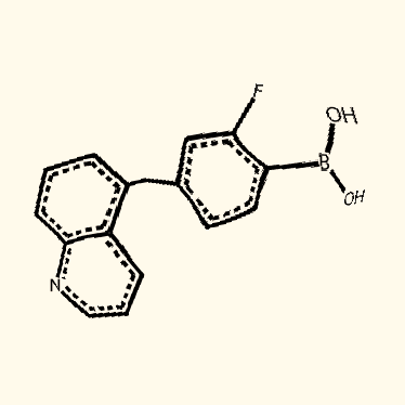 OB(O)c1ccc(-c2cccc3ncccc23)cc1F